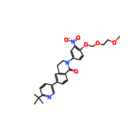 COCCOCOc1ccc(N2CCc3cc(-c4ccc(C(C)(C)C)nc4)ccc3C2=O)cc1[N+](=O)[O-]